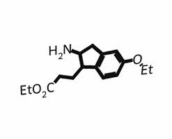 CCOC(=O)CCC1c2ccc(OCC)cc2CC1N